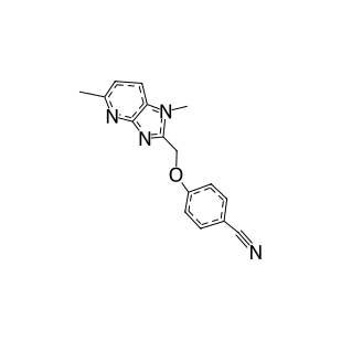 Cc1ccc2c(n1)nc(COc1ccc(C#N)cc1)n2C